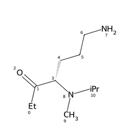 CCC(=O)[C@H](CCCN)N(C)C(C)C